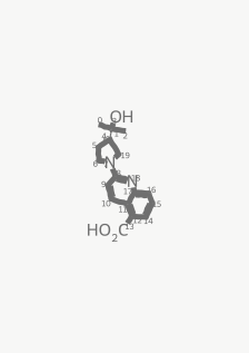 CC(C)(O)[C@H]1CCN(c2ccc3c(C(=O)O)cccc3n2)C1